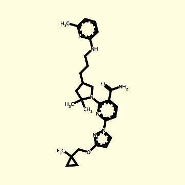 Cc1cccc(NCCCC2CN(c3nc(-n4ccc(OCC5(C(F)(F)F)CC5)n4)ccc3C(N)=O)C(C)(C)C2)n1